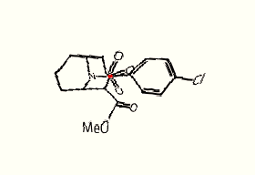 COC(=O)C1C(=O)CC2CCCC1N2S(=O)(=O)c1ccc(Cl)cc1